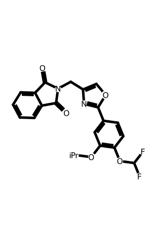 CC(C)Oc1cc(-c2nc(CN3C(=O)c4ccccc4C3=O)co2)ccc1OC(F)F